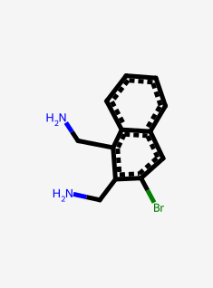 NCc1c(Br)cc2ccccc2c1CN